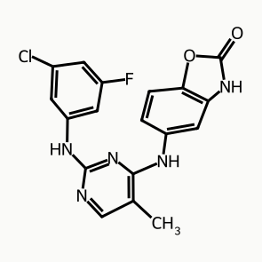 Cc1cnc(Nc2cc(F)cc(Cl)c2)nc1Nc1ccc2oc(=O)[nH]c2c1